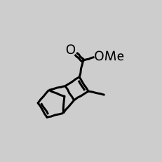 COC(=O)C1=C(C)C2C3C=CC(C3)C12